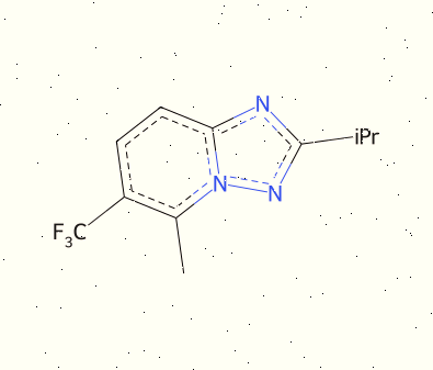 Cc1c(C(F)(F)F)ccc2nc(C(C)C)nn12